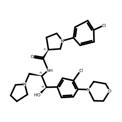 O=C(N[C@H](CN1CCCC1)[C@H](O)c1ccc(N2CCOCC2)c(Cl)c1)[C@H]1CCN(c2ccc(Cl)cc2)C1